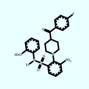 CCN(c1ccccc1OC)S(=O)(=O)c1cccc([N+](=O)[O-])c1N1CCC(C(=O)c2ccc(F)cc2)CC1